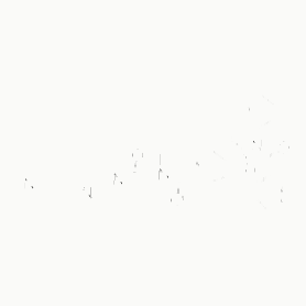 CN(C)CCCN1CCN(C(=O)CNC(=O)c2ccc(S(=O)(=O)N(C(=O)c3ccccc3)c3ccccc3)cc2)CC1